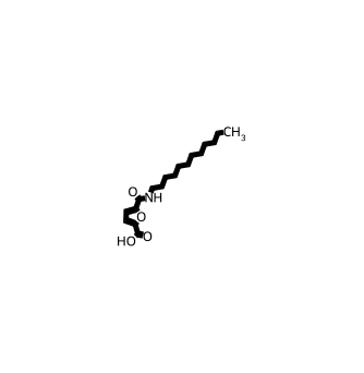 CCCCCCCCCCCCNC(=O)c1ccc(C(=O)O)o1